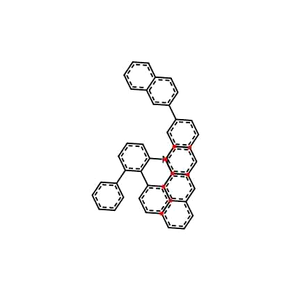 c1ccc(-c2ccccc2-c2c(-c3ccccc3)cccc2N(c2cccc(-c3ccc4ccccc4c3)c2)c2ccc3ccccc3c2)cc1